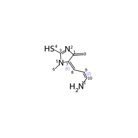 C=c1nc(S)n(C)/c1=C/C=C\N